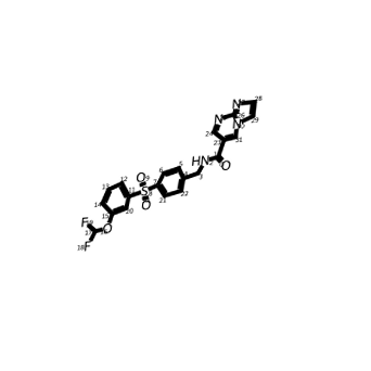 O=C(NCc1ccc(S(=O)(=O)c2cccc(OC(F)F)c2)cc1)c1cnc2nccn2c1